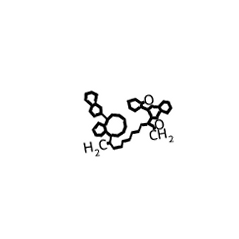 C=C(\C=C/C=C/C=C/C=c1\c(=C)oc2c3ccccc3c3oc4ccccc4c3c12)c1ccccccc(-c2ccc3ccccc3c2)c2ccccc12